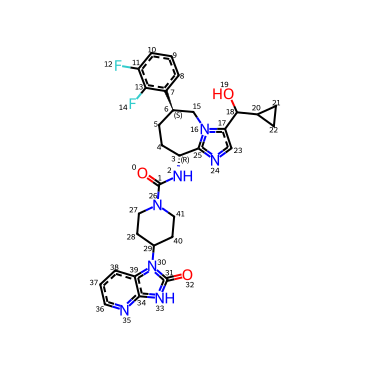 O=C(N[C@@H]1CC[C@@H](c2cccc(F)c2F)Cn2c(C(O)C3CC3)cnc21)N1CCC(n2c(=O)[nH]c3ncccc32)CC1